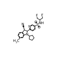 Cc1ccc2c(c1)N(C1CCCC1)C(c1ccc(S(=O)(=O)NC(CF)CF)cn1)C2C#N